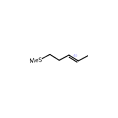 [CH2]SCC/C=C/C